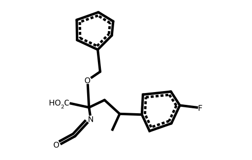 CC(CC(N=C=O)(OCc1ccccc1)C(=O)O)c1ccc(F)cc1